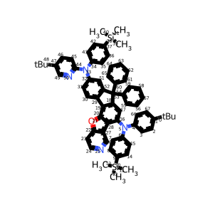 CC(C)(C)c1ccc(N(c2ccc([Si](C)(C)C)cc2)c2cc3c(c4oc5ccncc5c24)-c2ccc(N(c4ccc([Si](C)(C)C)cc4)c4ccc(C(C)(C)C)cn4)cc2C3(c2ccccc2)c2ccccc2)cc1